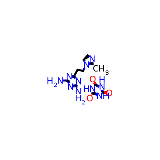 Cc1nccn1CCc1nc(N)nc(N)n1.O=c1[nH]c(=O)[nH]c(=O)[nH]1